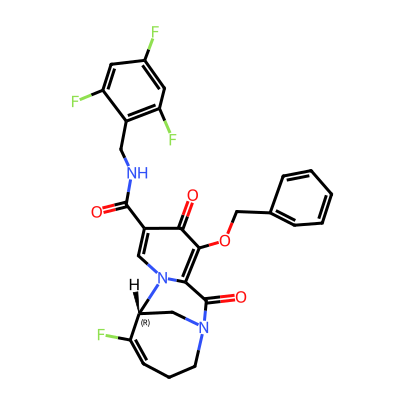 O=C(NCc1c(F)cc(F)cc1F)c1cn2c(c(OCc3ccccc3)c1=O)C(=O)N1CCC=C(F)[C@H]2C1